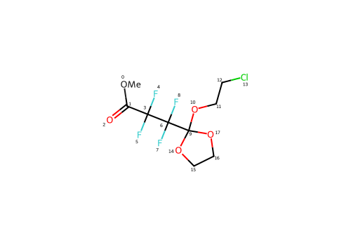 COC(=O)C(F)(F)C(F)(F)C1(OCCCl)OCCO1